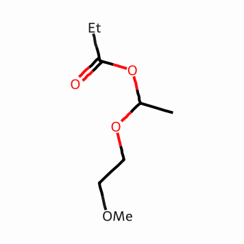 [CH2]CC(=O)OC(C)OCCOC